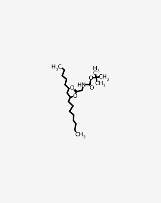 CCCCCCCCC(CCCCCCC)OC(=O)CNC(=O)OC(C)(C)C